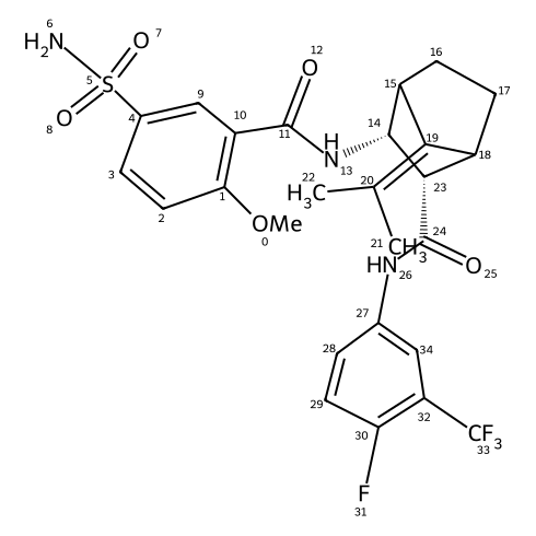 COc1ccc(S(N)(=O)=O)cc1C(=O)N[C@@H]1C2CCC(C2=C(C)C)[C@@H]1C(=O)Nc1ccc(F)c(C(F)(F)F)c1